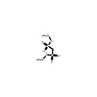 CCCCCOS(=O)(=O)CS(=O)(=O)OCCCCC